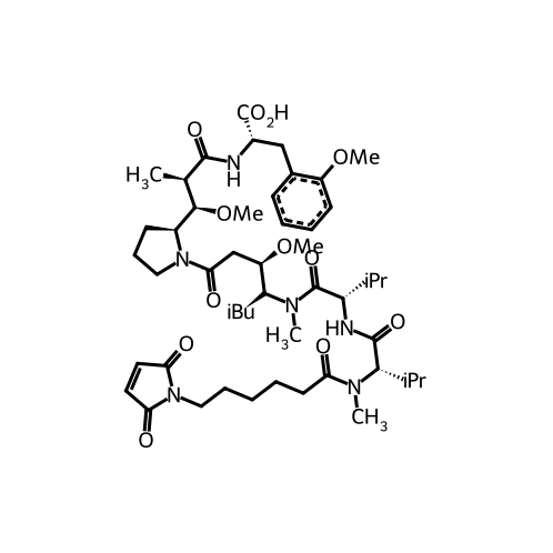 CC[C@H](C)C([C@@H](CC(=O)N1CCC[C@H]1[C@H](OC)[C@@H](C)C(=O)N[C@@H](Cc1ccccc1OC)C(=O)O)OC)N(C)C(=O)[C@@H](NC(=O)[C@H](C(C)C)N(C)C(=O)CCCCCN1C(=O)C=CC1=O)C(C)C